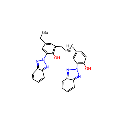 CC(C)(C)Cc1cc(CC(C)(C)C)c(O)c(-n2nc3ccccc3n2)c1.Cc1ccc(O)c(-n2nc3ccccc3n2)c1